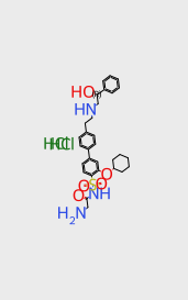 Cl.Cl.NCC(=O)NS(=O)(=O)c1ccc(-c2ccc(CCNC[C@H](O)c3ccccc3)cc2)cc1OC1CCCCC1